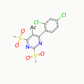 CC(=O)c1c(-c2ccc(Cl)cc2Cl)nc(S(C)(=O)=O)nc1S(C)(=O)=O